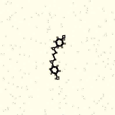 Clc1ccc(OCCCOc2ccc(Cl)cc2)cc1